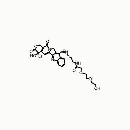 CC[C@@]1(O)C(=O)OCc2c1cc1n(c2=O)Cc2c-1nc1ccccc1c2/C=N\OCCNC(=O)COCCOCCO